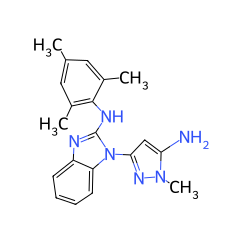 Cc1cc(C)c(Nc2nc3ccccc3n2-c2cc(N)n(C)n2)c(C)c1